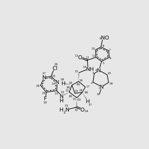 CN1CCN(c2ccc(N=O)cc2C(=O)NC[C@@H]2C[C@@H]3C[C@H]2[C@@H](Nc2nc(Cl)ncc2F)[C@H]3C(N)=O)CC1